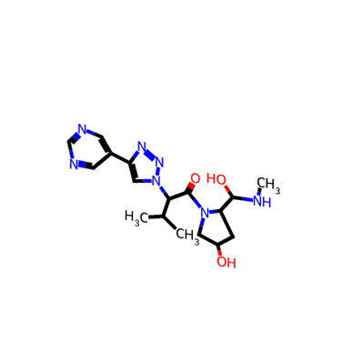 CNC(O)C1CC(O)CN1C(=O)C(C(C)C)n1cc(-c2cncnc2)nn1